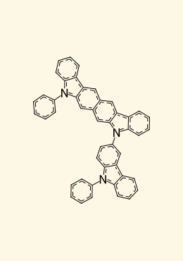 c1ccc(-n2c3ccccc3c3cc(-n4c5ccccc5c5cc6cc7c8ccccc8n(-c8ccccc8)c7cc6cc54)ccc32)cc1